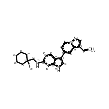 C=Cc1cnn2ccc(-c3c[nH]c4nc(NCC5(F)CCCCC5)ncc34)cc12